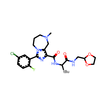 CN1CCCn2c(-c3cc(Cl)ccc3F)nc(C(=O)NC(C(=O)NCC3OCCO3)C(C)(C)C)c2C1